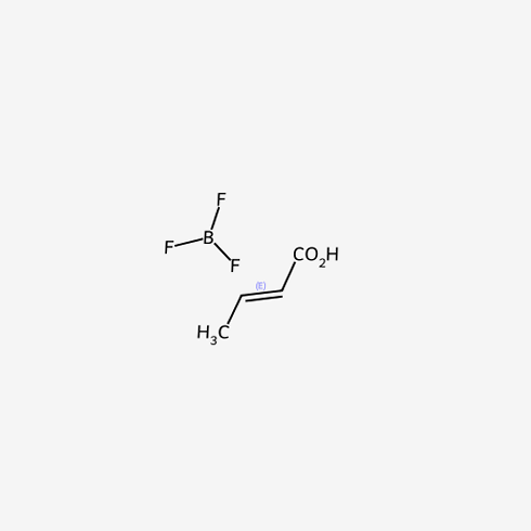 C/C=C/C(=O)O.FB(F)F